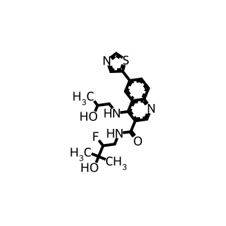 CC(O)CNc1c(C(=O)NCC(F)C(C)(C)O)cnc2ccc(-c3cncs3)cc12